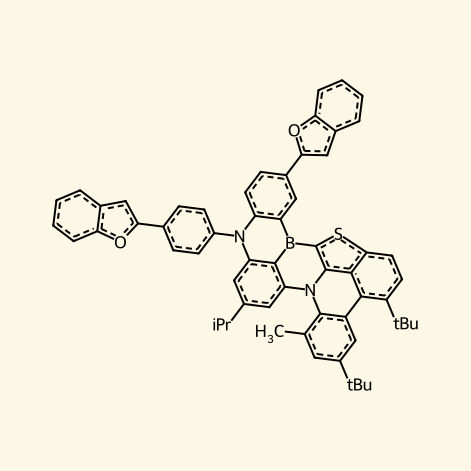 Cc1cc(C(C)(C)C)cc2c1N1c3cc(C(C)C)cc4c3B(c3cc(-c5cc6ccccc6o5)ccc3N4c3ccc(-c4cc5ccccc5o4)cc3)c3sc4ccc(C(C)(C)C)c-2c4c31